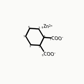 O=C([O-])C1CCCCC1C(=O)[O-].[Zn+2]